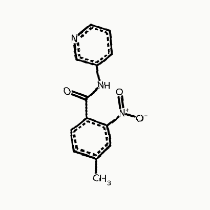 Cc1ccc(C(=O)Nc2cccnc2)c([N+](=O)[O-])c1